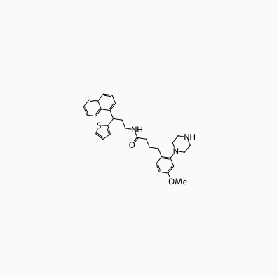 COc1ccc(CCCC(=O)NCCC(c2cccs2)c2cccc3ccccc23)c(N2CCNCC2)c1